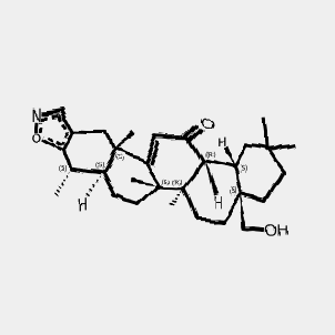 C[C@@H]1c2oncc2C[C@]2(C)C3=CC(=O)[C@@H]4[C@@H]5CC(C)(C)CC[C@]5(CO)CC[C@@]4(C)[C@]3(C)CC[C@@H]12